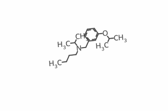 CCCCN(Cc1cccc(OC(C)C)c1)C(C)C